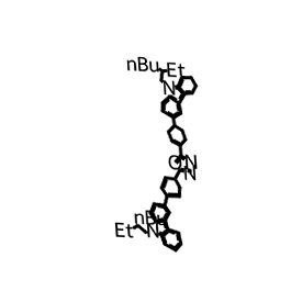 CCCCC(CC)Cn1c2c(c3cc(C4CC=C(c5nnc(C6C=CC(c7ccc8c(c7)c7ccccc7n8CC(CC)CCCC)=CC6)o5)CC4)ccc31)=CCCC=2